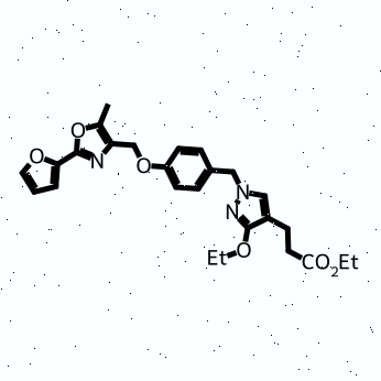 CCOC(=O)CCc1cn(Cc2ccc(OCc3nc(-c4ccco4)oc3C)cc2)nc1OCC